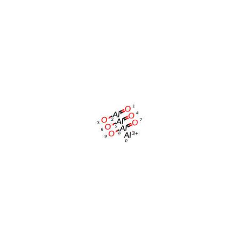 [Al+3].[O]=[Al][O-].[O]=[Al][O-].[O]=[Al][O-]